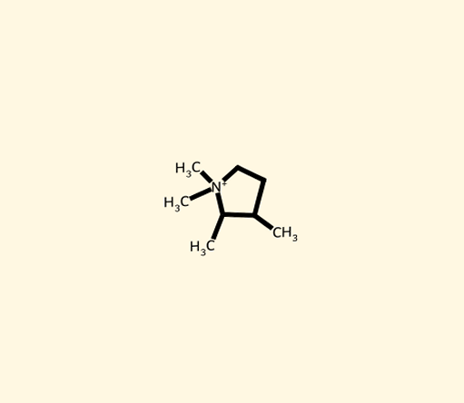 CC1CC[N+](C)(C)C1C